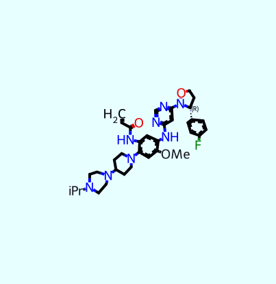 C=CC(=O)Nc1cc(Nc2cc(N3OCC[C@@H]3c3ccc(F)cc3)ncn2)c(OC)cc1N1CCC(N2CCN(C(C)C)CC2)CC1